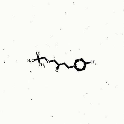 CCC(C)(C)COCC(=O)CCc1ccc(C(F)(F)F)cc1